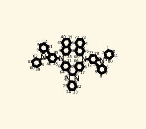 c1ccc(-n2c3ccccc3c3cc(N(c4ccc(-c5nc6ccccc6nc5-c5ccc(N(c6ccc7ccccc7c6)c6ccc7c(c6)c6ccccc6n7-c6ccccc6)cc5)cc4)c4ccc5ccccc5c4)ccc32)cc1